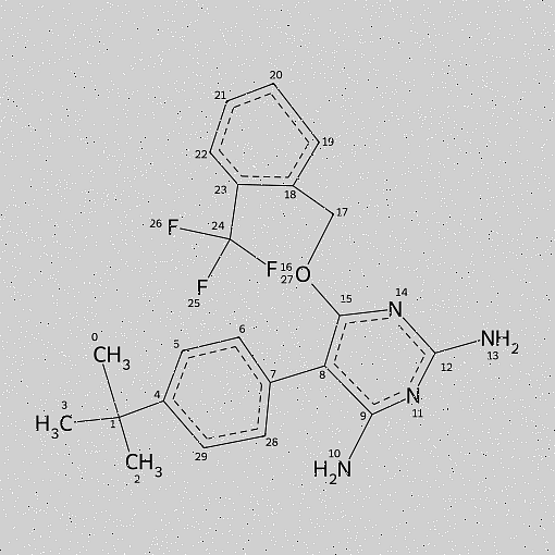 CC(C)(C)c1ccc(-c2c(N)nc(N)nc2OCc2ccccc2C(F)(F)F)cc1